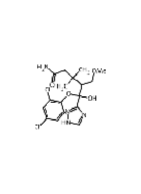 COCC(C(C)(C)CC(N)=O)C(O)(Oc1ccc(Cl)cc1Cl)c1nc[nH]n1